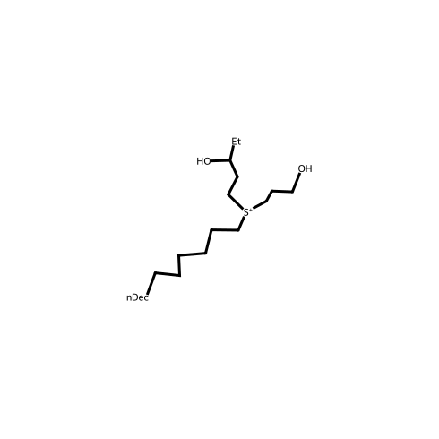 CCCCCCCCCCCCCCCC[S+](CCCO)CCC(O)CC